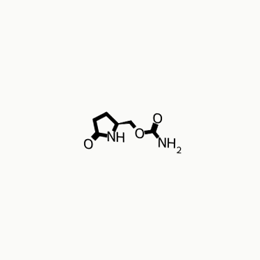 NC(=O)OC[C@@H]1CCC(=O)N1